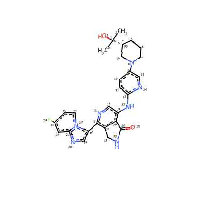 CC(C)(O)[C@@H]1CCCN(c2ccc(Nc3cnc(-c4cnc5cc(F)ccn45)c4c3C(=O)NC4)nc2)C1